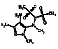 CN(c1c(N)c(C(F)(F)F)nn1C)N(S(C)(=O)=O)S(C)(=O)=O